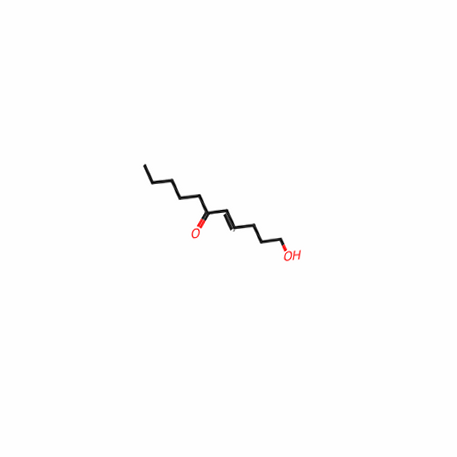 CCCCCC(=O)/C=[C]/CCCO